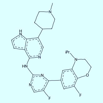 CC(C)N1CCOc2c(F)cc(-c3nc(Nc4ncc(C5CCN(C)CC5)c5[nH]ccc45)ncc3F)cc21